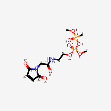 COP(C)(=O)OP(=O)(OC)OCCNC(=O)CN1C(=O)C=CC1=O